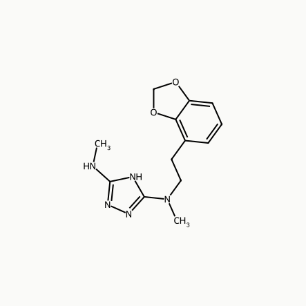 CNc1nnc(N(C)CCc2cccc3c2OCO3)[nH]1